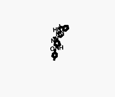 Cc1ccc(C(=O)Nc2ccc3c(c2)ncn3-c2ccnc(N[C@@H](C)c3ccccc3)n2)cc1